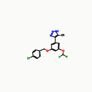 N#Cc1[nH]nnc1-c1cc(OCc2ccc(Cl)cc2)cc(OC(F)F)c1